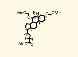 CC[C@H]1[C@@H](OCOC)C2C3CC[C@H]([C@H](C)CC(F)(F)C(=O)OC)[C@@]3(C)CCC2[C@@]2(C)CC[C@@H](OCOC)C[C@@H]12